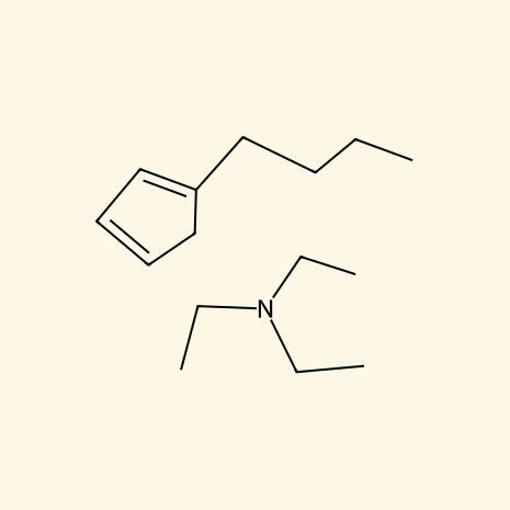 CCCCC1=CC=CC1.CCN(CC)CC